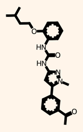 CC(=O)c1cccc(-c2cc(NC(=O)Nc3ccccc3OCCC(C)C)nn2C)c1